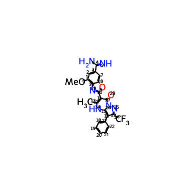 COc1cc(C(=N)N)cc2oc(-c3c(C)[nH]c4c(-c5ccccc5)c(C(F)(F)F)nn4c3=O)nc12